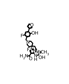 COC(O)Nc1nn(C2(CC#N)CCN(Cc3cc(O)c(-c4ccoc4)cc3F)CC2F)cc1C(N)=O